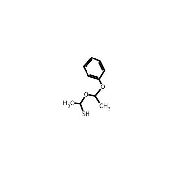 CC(S)OC(C)Oc1ccccc1